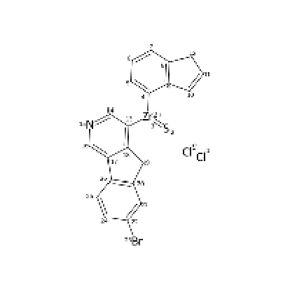 [Cl-].[Cl-].[S]=[Zr+2]([c]1cccc2c1C=CC2)[c]1cncc2c1Cc1cc(Br)ccc1-2